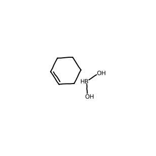 C1=CCCCC1.OBO